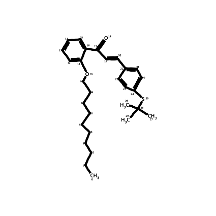 CCCCCCCCCCOc1ccccc1C(=O)C=Cc1ccc(SC(C)(C)C)cc1